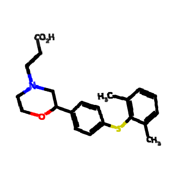 Cc1cccc(C)c1Sc1ccc(C2CN(CCC(=O)O)CCO2)cc1